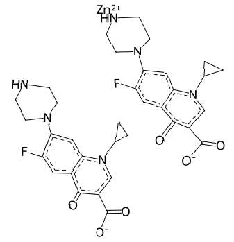 O=C([O-])c1cn(C2CC2)c2cc(N3CCNCC3)c(F)cc2c1=O.O=C([O-])c1cn(C2CC2)c2cc(N3CCNCC3)c(F)cc2c1=O.[Zn+2]